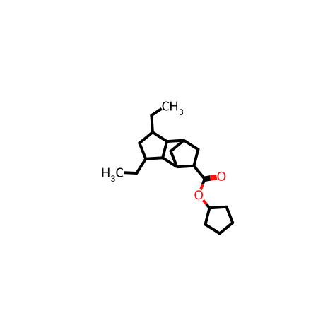 CCC1CC(CC)C2C3CC(CC3C(=O)OC3CCCC3)C12